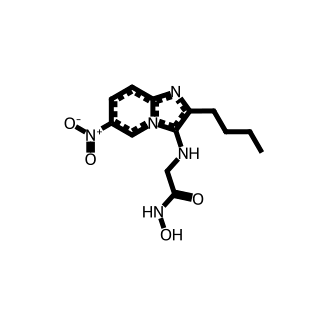 CCCCc1nc2ccc([N+](=O)[O-])cn2c1NCC(=O)NO